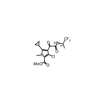 COC(=O)c1c(Cl)c(C(=O)C(=O)N[C@H](C)C(F)(F)F)c(C2CC2)n1C